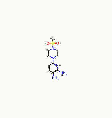 CCS(=O)(=O)N1CCN(c2ccc(N)c(N)n2)CC1